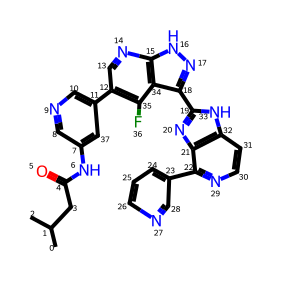 CC(C)CC(=O)Nc1cncc(-c2cnc3[nH]nc(-c4nc5c(-c6cccnc6)nccc5[nH]4)c3c2F)c1